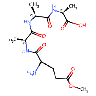 COC(=O)CCC(N)C(=O)N[C@@H](C)C(=O)N[C@@H](C)C(=O)N[C@@H](C)C(=O)O